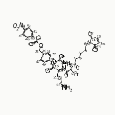 CC(C)[C@H](NC(=O)CCCCCN1C(=O)C=CC1=O)C(=O)N[C@@H](CCCN)C(=O)N(C(N)=O)c1ccc(COC(=O)Oc2ccc([N+](=O)[O-])cc2)cc1